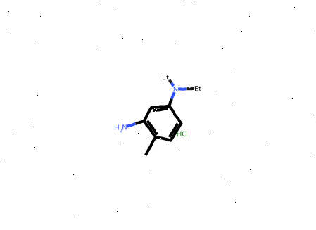 CCN(CC)c1ccc(C)c(N)c1.Cl